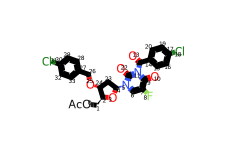 CC(=O)OC[C@H]1O[C@@H](n2cc(F)c(=O)n(C(=O)c3ccc(Cl)cc3)c2=O)C[C@@H]1OCc1ccc(Cl)cc1